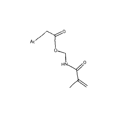 C=C(C)C(=O)NCOC(=O)CC(C)=O